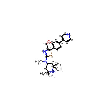 CN(c1nc2c(s1)-c1ccc(-c3ccncc3)cc1OC2)C1CC(C)(C)NC(C)(C)C1